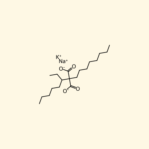 CCCCCCCCC(C(=O)[O-])(C(=O)[O-])C(CC)CCCCC.[K+].[Na+]